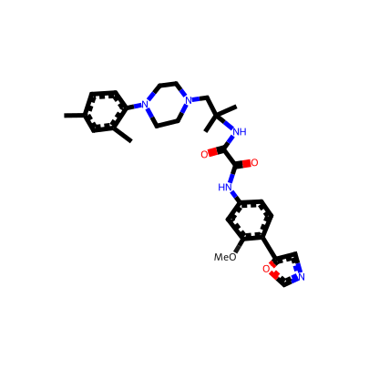 COc1cc(NC(=O)C(=O)NC(C)(C)CN2CCN(c3ccc(C)cc3C)CC2)ccc1-c1cnco1